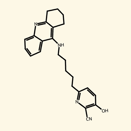 N#Cc1nc(CCCCCNc2c3c(nc4ccccc24)CCCC3)ccc1O